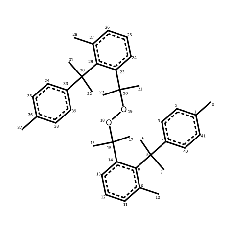 Cc1ccc(C(C)(C)c2c(C)cccc2C(C)(C)OOC(C)(C)c2cccc(C)c2C(C)(C)c2ccc(C)cc2)cc1